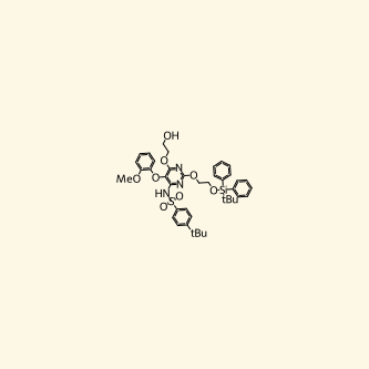 COc1ccccc1Oc1c(NS(=O)(=O)c2ccc(C(C)(C)C)cc2)nc(OCCO[Si](c2ccccc2)(c2ccccc2)C(C)(C)C)nc1OCCO